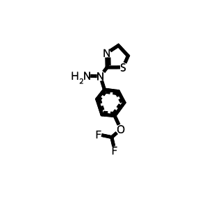 NN(C1=NCCS1)c1ccc(OC(F)F)cc1